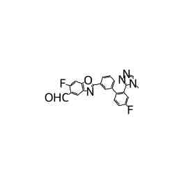 Cn1cnnc1-c1cc(F)ccc1-c1cccc(-c2nc3cc(C=O)c(F)cc3o2)c1